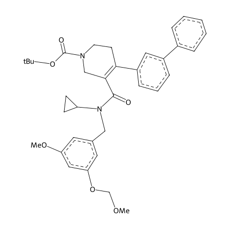 COCOc1cc(CN(C(=O)C2=C(c3cccc(-c4ccccc4)c3)CCN(C(=O)OC(C)(C)C)C2)C2CC2)cc(OC)c1